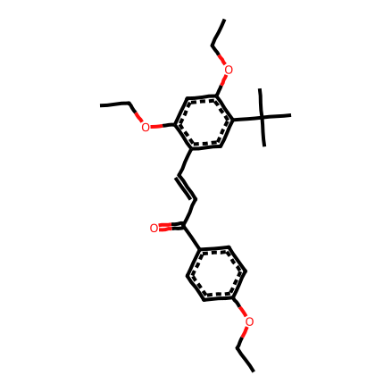 CCOc1ccc(C(=O)C=Cc2cc(C(C)(C)C)c(OCC)cc2OCC)cc1